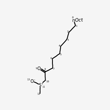 CCCCCCCCCCCCCCCC(=O)C[S+](C)[O-]